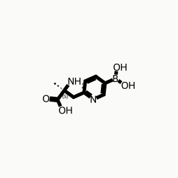 C[C@](N)(Cc1ccc(B(O)O)cn1)C(=O)O